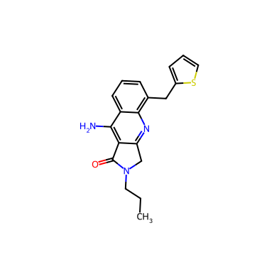 CCCN1Cc2nc3c(Cc4cccs4)cccc3c(N)c2C1=O